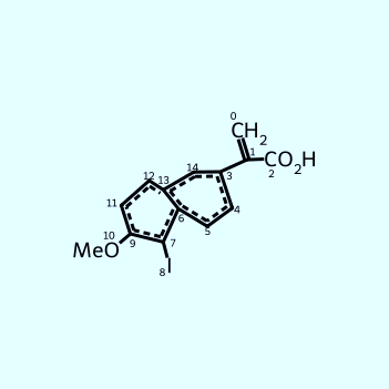 C=C(C(=O)O)c1ccc2c(I)c(OC)ccc2c1